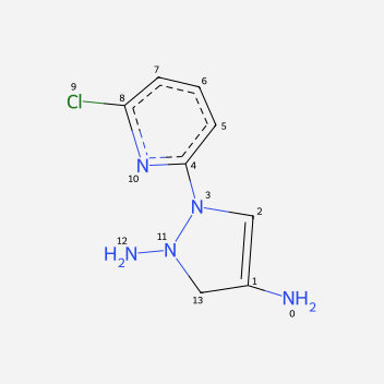 NC1=CN(c2cccc(Cl)n2)N(N)C1